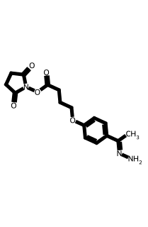 C/C(=N\N)c1ccc(OCCCC(=O)ON2C(=O)CCC2=O)cc1